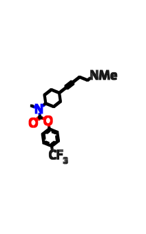 CNCCC#CC1CCC(N(C)C(=O)Oc2ccc(C(F)(F)F)cc2)CC1